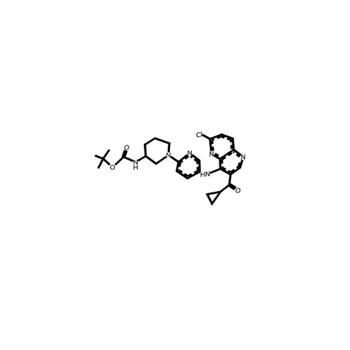 CC(C)(C)OC(=O)NC1CCCN(c2ccc(Nc3c(C(=O)C4CC4)cnc4ccc(Cl)nc34)cn2)C1